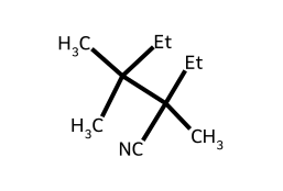 CCC(C)(C)C(C)(C#N)CC